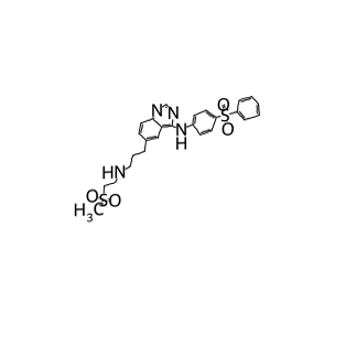 CS(=O)(=O)CCNCCCc1ccc2ncnc(Nc3ccc(S(=O)(=O)c4ccccc4)cc3)c2c1